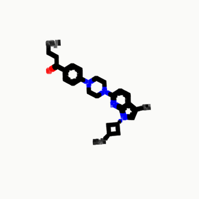 CN[C@H]1C[C@H](n2cc(C#N)c3ccc(N4CCN(c5ccc(C(=O)CCC(=O)O)cc5)CC4)nc32)C1